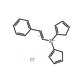 C1=CC[C]([Zr+](/[CH]=C/c2ccccc2)[C]2=CC=CC2)=C1.[Cl-]